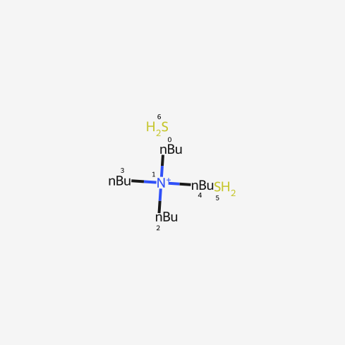 CCCC[N+](CCCC)(CCCC)CCCC.S.S